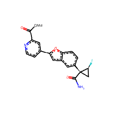 COC(=O)c1cc(-c2cc3cc([C@]4(C(N)=O)C[C@@H]4F)ccc3o2)ccn1